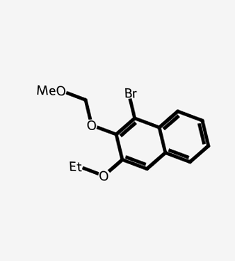 CCOc1cc2ccccc2c(Br)c1OCOC